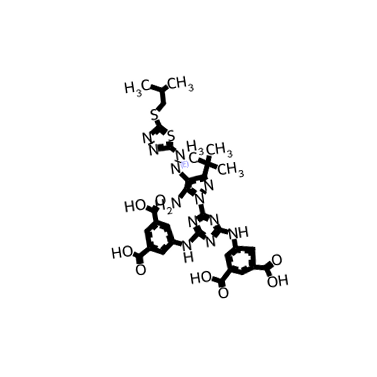 CC(C)CSc1nnc(/N=N/c2c(C(C)(C)C)nn(-c3nc(Nc4cc(C(=O)O)cc(C(=O)O)c4)nc(Nc4cc(C(=O)O)cc(C(=O)O)c4)n3)c2N)s1